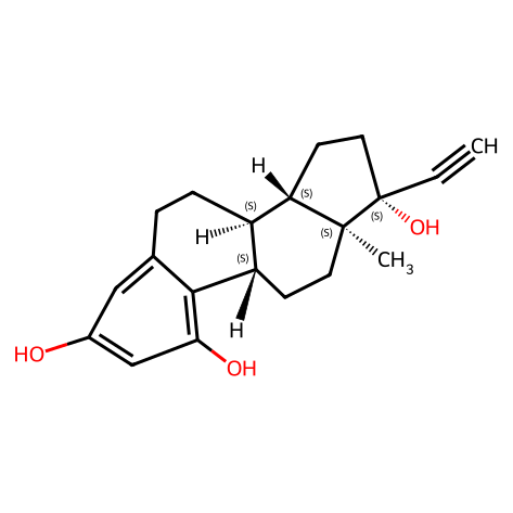 C#C[C@]1(O)CC[C@H]2[C@@H]3CCc4cc(O)cc(O)c4[C@H]3CC[C@@]21C